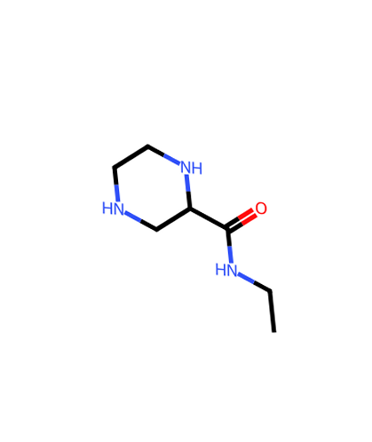 CCNC(=O)C1CNCCN1